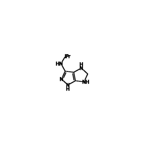 CC(C)Nc1n[nH]c2c1NCN2